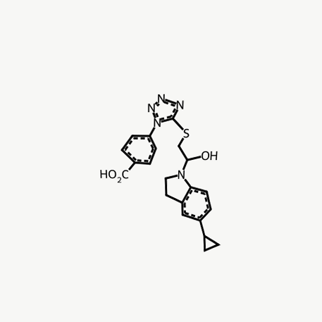 O=C(O)c1ccc(-n2nnnc2SCC(O)N2CCc3cc(C4CC4)ccc32)cc1